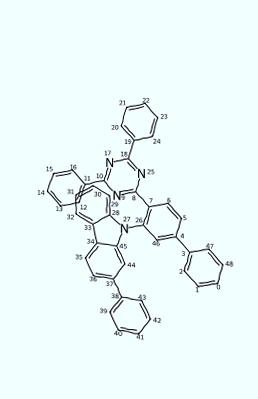 c1ccc(-c2ccc(-c3nc(-c4ccccc4)nc(-c4ccccc4)n3)c(-n3c4ccccc4c4ccc(-c5ccccc5)cc43)c2)cc1